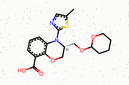 Cc1cnc(N2c3cccc(C(=O)O)c3OC[C@H]2COC2CCCCO2)s1